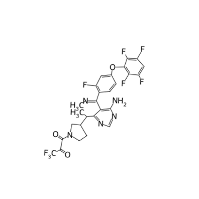 C/N=C(/c1ccc(Oc2c(F)c(F)cc(F)c2F)cc1F)c1c(N)ncnc1C(C)C1CCN(C(=O)C(=O)C(F)(F)F)C1